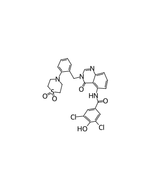 O=C(Nc1cccc2ncn(Cc3ccccc3N3CCS(=O)(=O)CC3)c(=O)c12)c1cc(Cl)c(O)c(Cl)c1